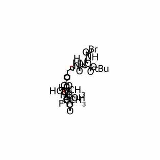 CC(C)(C)OC(=O)CC[C@H](NC(=O)CNC(=O)CBr)C(=O)NC12CC(Cc3ccc([C@@H]4O[C@@H]5C[C@H]6[C@@H]7C[C@H](F)C8=CC(=O)C=C[C@]8(C)[C@@]7(F)[C@@H](O)C[C@]6(C)[C@]5(C(=O)CO)O4)cc3)(C1)C2